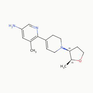 Cc1cc(N)cnc1C1=CCN([C@H]2CCO[C@H]2C)CC1